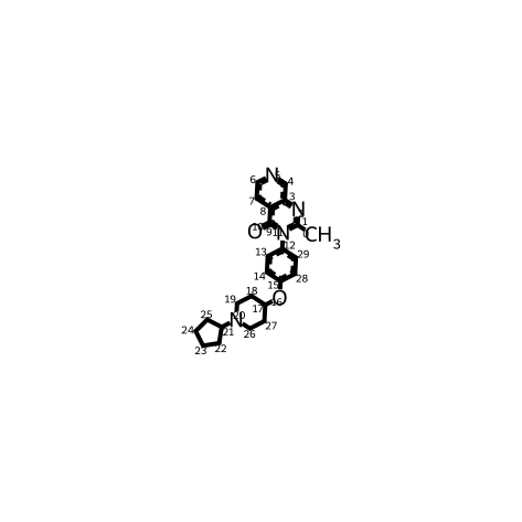 Cc1nc2cnccc2c(=O)n1-c1ccc(OC2CCN(C3CCCC3)CC2)cc1